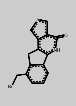 O=c1[nH]c2c(c3cscc13)Cc1c(CBr)cccc1-2